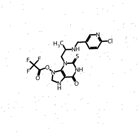 CC(Cn1c2c(c(=O)[nH]c1=S)NCN2OC(=O)C(F)(F)F)NCc1ccc(Cl)nc1